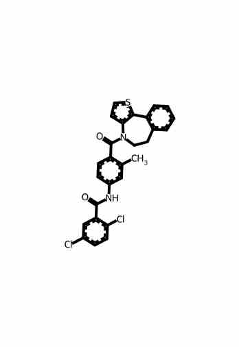 Cc1cc(NC(=O)c2cc(Cl)ccc2Cl)ccc1C(=O)N1CCc2ccccc2-c2sccc21